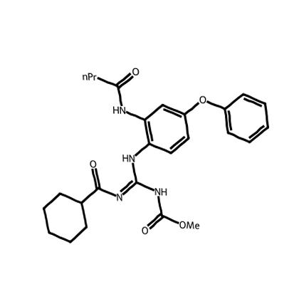 CCCC(=O)Nc1cc(Oc2ccccc2)ccc1NC(=NC(=O)C1CCCCC1)NC(=O)OC